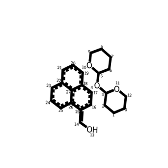 C1CCC(OC2CCCCO2)OC1.OC=c1ccc2cccc3cccc1c32